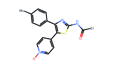 CCC(=O)Nc1nc(-c2ccc(C(C)(C)C)cc2)c(-c2cc[n+]([O-])cc2)s1